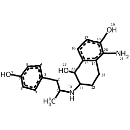 CC(Cc1ccc(O)cc1)NC1CCc2c(ccc(O)c2N)C1O